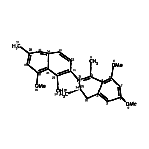 COc1cc2c(c(OC)c1)C(C)=[N+](c1ccc3cc(C)cc(OC)c3c1O)[C@@H](C)C2